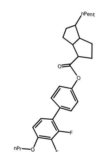 CCCCCC1CCC2C(C(=O)Oc3ccc(-c4ccc(OCCC)c(F)c4F)cc3)CCC12